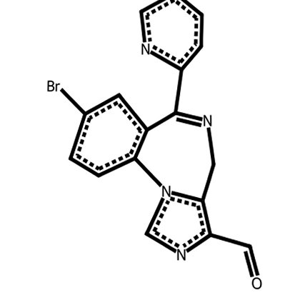 O=Cc1ncn2c1CN=C(c1ccccn1)c1cc(Br)ccc1-2